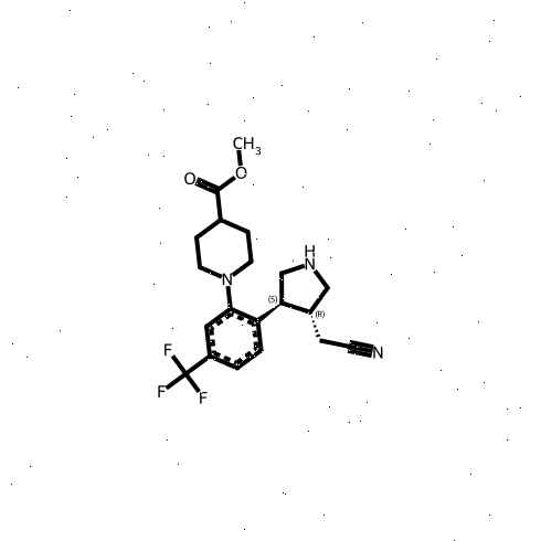 COC(=O)C1CCN(c2cc(C(F)(F)F)ccc2[C@H]2CNC[C@@H]2CC#N)CC1